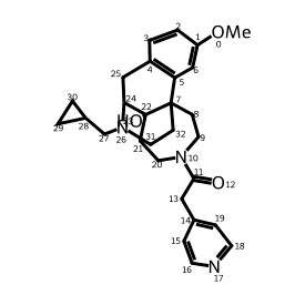 COc1ccc2c(c1)C13CCN(C(=O)Cc4ccncc4)CCC1(O)C(C2)N(CC1CC1)CC3